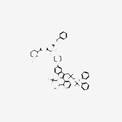 CO[C@@H](C)c1ncccc1-c1c(CC(C)(C)CO[Si](c2ccccc2)(c2ccccc2)C(C)(C)C)c2cc(N3CCO[C@@H](C[C@H](NC(=O)OCc4ccccc4)C(=O)OC(=O)C4CCCNN4)C3)ccc2n1CC(F)(F)F